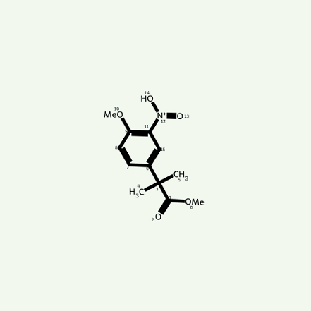 COC(=O)C(C)(C)c1ccc(OC)c([N+](=O)O)c1